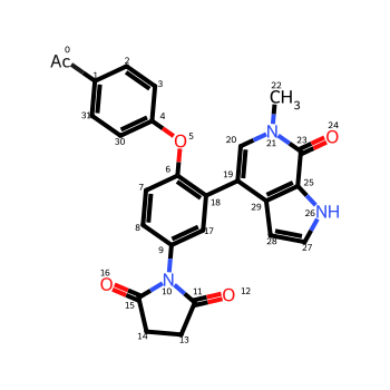 CC(=O)c1ccc(Oc2ccc(N3C(=O)CCC3=O)cc2-c2cn(C)c(=O)c3[nH]ccc23)cc1